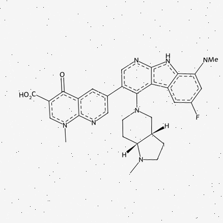 CNc1cc(F)cc2c1[nH]c1ncc(-c3cnc4c(c3)c(=O)c(C(=O)O)cn4C)c(N3CC[C@@H]4[C@@H](CCN4C)C3)c12